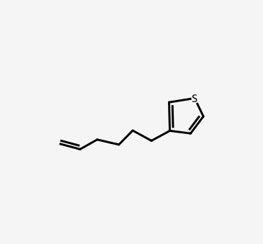 C=CCCCCc1ccsc1